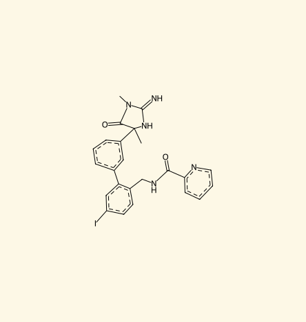 CN1C(=N)NC(C)(c2cccc(-c3cc(I)ccc3CNC(=O)c3ccccn3)c2)C1=O